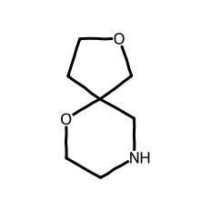 C1COC2(CCOC2)CN1